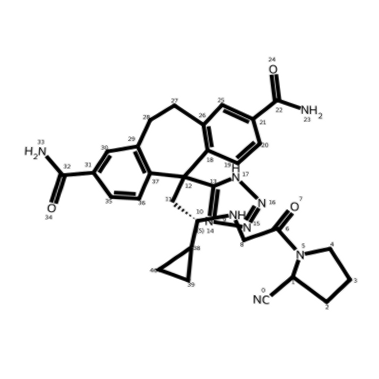 N#CC1CCCN1C(=O)CN[C@@H](CC1(c2nnn[nH]2)c2ccc(C(N)=O)cc2CCc2cc(C(N)=O)ccc21)C1CC1